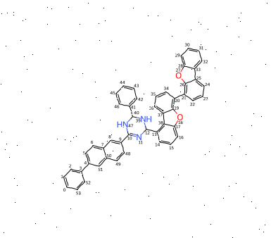 c1ccc(-c2ccc3cc(C4=NC(c5cccc6oc7c(-c8cccc9c8oc8ccccc89)cccc7c56)NC(c5ccccc5)N4)ccc3c2)cc1